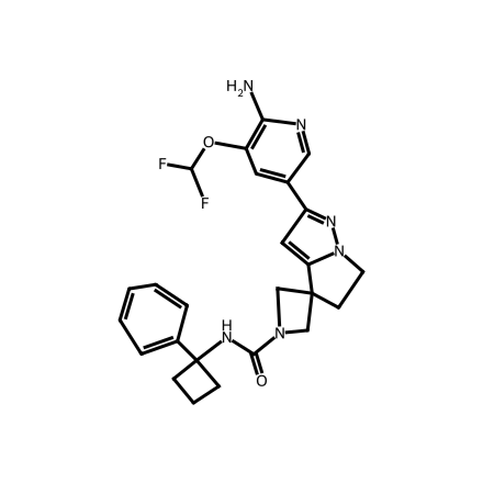 Nc1ncc(-c2cc3n(n2)CCC32CN(C(=O)NC3(c4ccccc4)CCC3)C2)cc1OC(F)F